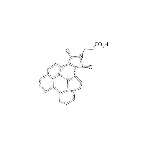 O=C(O)CCn1c(=O)c2c3ccc4cccc5c6cccc7ccc(c2c1=O)c(c76)c3c45